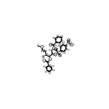 CON=CC(F)C(OC(=O)c1ccccc1)C(COC(=O)c1ccccc1)OS(=O)(=O)c1ccc([N+](=O)[O-])cc1